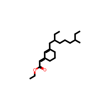 CCOC(=O)/C=C1/C=C(CC(CC)CCCC(C)CC)CCC1